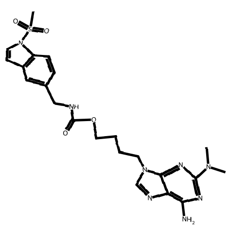 CN(C)c1nc(N)c2ncn(CCCCOC(=O)NCc3ccc4c(ccn4S(C)(=O)=O)c3)c2n1